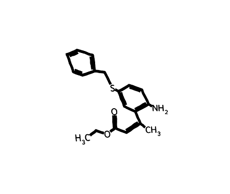 CCOC(=O)/C=C(/C)c1cc(SCc2ccccc2)ccc1N